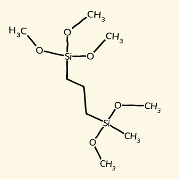 CO[Si](C)(CCC[Si](OC)(OC)OC)OC